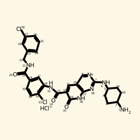 Cl.NC1CCC(Nc2ncc3cc(C(=O)Nc4cc(C(=O)NCc5cccc(Cl)c5)ccc4Cl)c(=O)[nH]c3n2)CC1